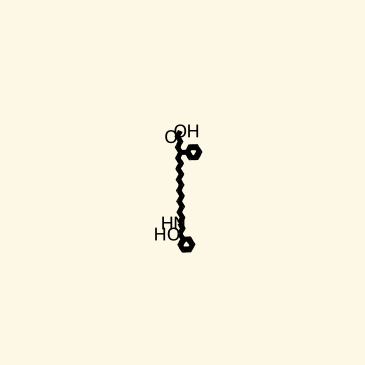 O=C(O)CCC(CCCCCCCCCCCCNCC(O)c1ccccc1)c1ccccc1